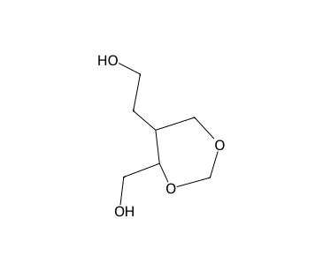 OCCC1COCOC1CO